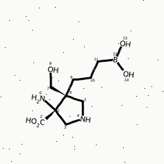 N[C@@]1(C(=O)O)CNC[C@@]1(CO)CCCB(O)O